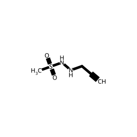 C#CCNNS(C)(=O)=O